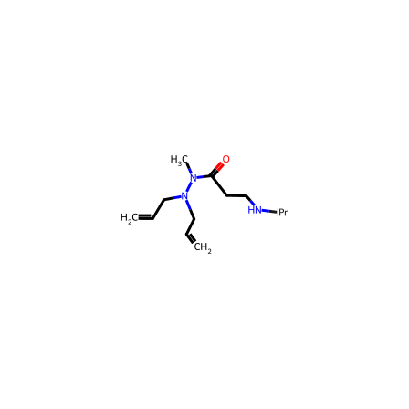 C=CCN(CC=C)N(C)C(=O)CCNC(C)C